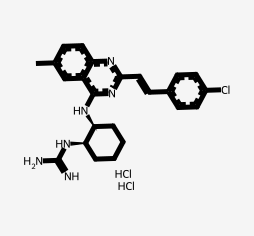 Cc1ccc2nc(/C=C/c3ccc(Cl)cc3)nc(N[C@H]3CCCC[C@H]3NC(=N)N)c2c1.Cl.Cl